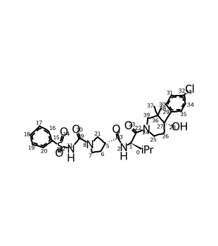 CC(C)[C@@H](NC(=O)[C@@H]1CCN(C(=O)NS(=O)(=O)c2ccccc2)C1)C(=O)N1CC[C@](O)(c2ccc(Cl)cc2)C(C)(C)C1